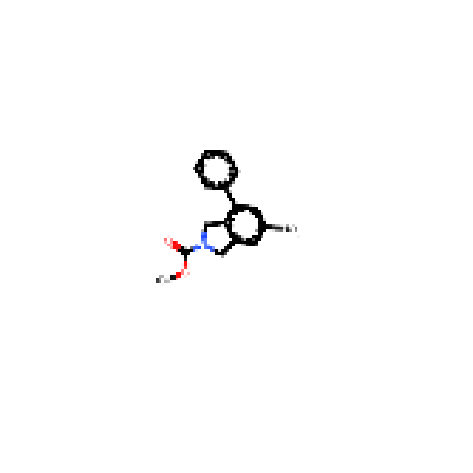 CC(C)(C)OC(=O)N1Cc2cc([N+](=O)[O-])cc(-c3ccccc3)c2C1